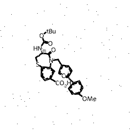 COc1ccc(-c2ccc(CN3C(=O)[C@@H](NC(=O)OC(C)(C)C)CSc4ccc(C(=O)O)cc43)cc2)cc1